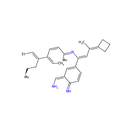 C/C=C(\C=C/C(=N/C(=C\C(C)=C1CCC1)C1=C/C(=C/N)C(=N)C=C1)C(C)CC)C(=C/CC)/CC[C@H](C)CC